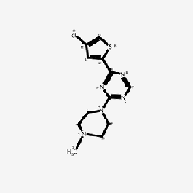 CN1CCN(c2ncnc(-c3cc(Cl)cs3)n2)CC1